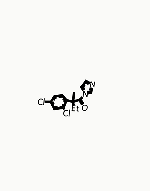 CCC(C)(C(=O)n1ccnc1)c1ccc(Cl)cc1Cl